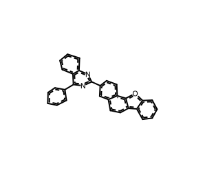 c1ccc(-c2nc(-c3ccc4c(ccc5c6ccccc6oc45)c3)nc3ccccc23)cc1